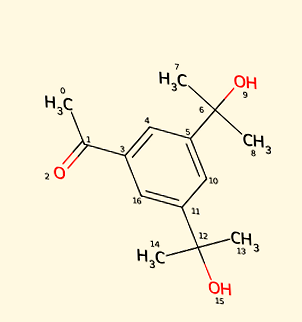 CC(=O)c1cc(C(C)(C)O)cc(C(C)(C)O)c1